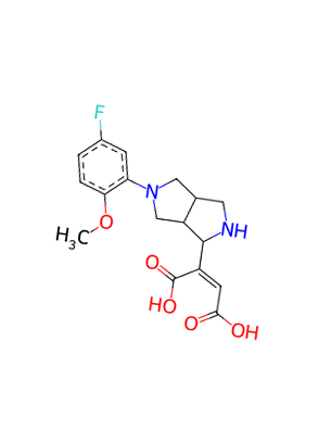 COc1ccc(F)cc1N1CC2CNC(/C(=C/C(=O)O)C(=O)O)C2C1